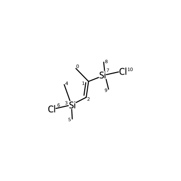 CC(=C[Si](C)(C)Cl)[Si](C)(C)Cl